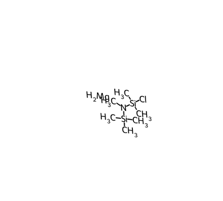 CN([Si](C)(C)C)[Si](C)(C)Cl.[MgH2]